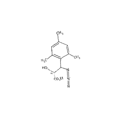 CCOC(=O)[C@H](O)C(N=[N+]=[N-])c1c(C)cc(C)cc1C